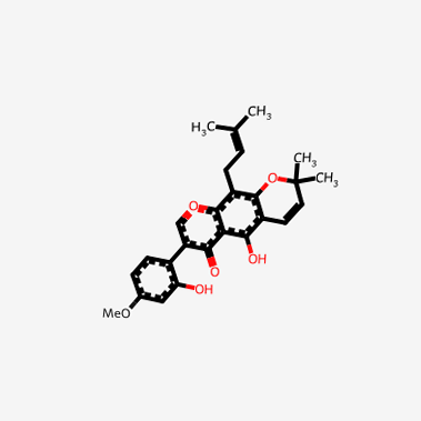 COc1ccc(-c2coc3c(CC=C(C)C)c4c(c(O)c3c2=O)C=CC(C)(C)O4)c(O)c1